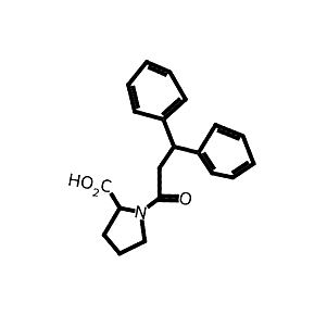 O=C(O)C1CCCN1C(=O)CC(c1ccccc1)c1ccccc1